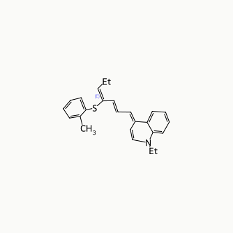 CC/C=C(\C=CC=C1C=CN(CC)c2ccccc21)Sc1ccccc1C